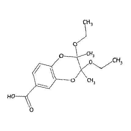 CCOC1(C)Oc2ccc(C(=O)O)cc2OC1(C)OCC